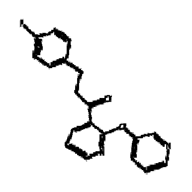 O=C(CCc1ccc(F)cc1)c1cccnc1Oc1cccnc1